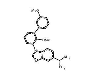 COc1cccc(-c2cccc(-n3cnc4cc([C@@H](C)N)ccc43)c2OC)c1